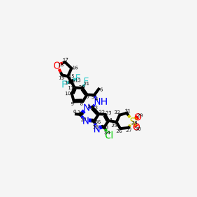 Cc1nc(NC(C)c2cccc(C(F)(F)C3CCOC3)c2F)c2cc(C3CCS(=O)(=O)CC3)c(Cl)nc2n1